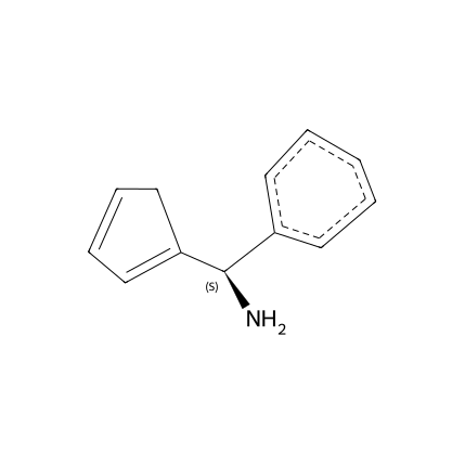 N[C@@H](C1=CC=CC1)c1ccccc1